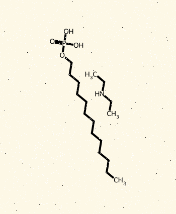 CCCCCCCCCCCCCOP(=O)(O)O.CCNCC